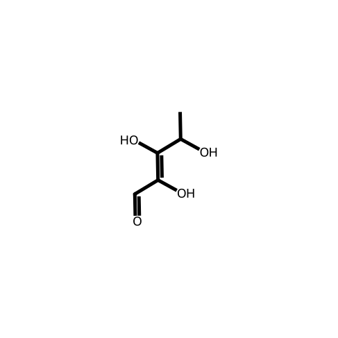 CC(O)C(O)=C(O)C=O